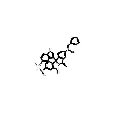 CCOc1cc(N(CC)CC)ccc1C1(c2c[nH]c3ccc(OC)cc23)OC(=O)c2cc(N(CC)Cc3ccccc3)ccc21